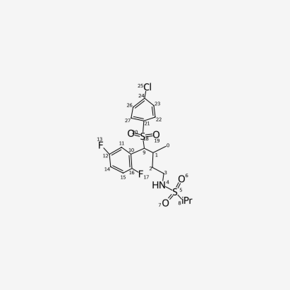 CC(CCNS(=O)(=O)C(C)C)C(c1cc(F)ccc1F)S(=O)(=O)c1ccc(Cl)cc1